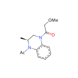 COCC(=O)N1C[C@H](C)N(C(C)=O)c2ccccc21